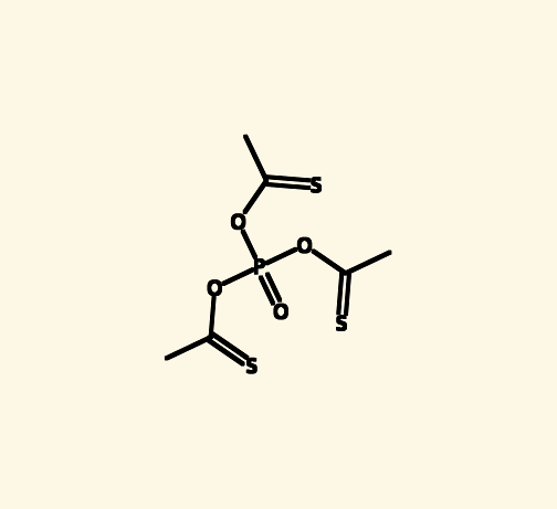 CC(=S)OP(=O)(OC(C)=S)OC(C)=S